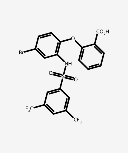 O=C(O)c1ccccc1Oc1ccc(Br)cc1NS(=O)(=O)c1cc(C(F)(F)F)cc(C(F)(F)F)c1